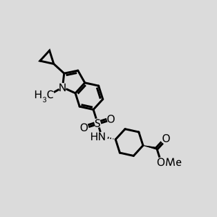 COC(=O)[C@H]1CC[C@H](NS(=O)(=O)c2ccc3cc(C4CC4)n(C)c3c2)CC1